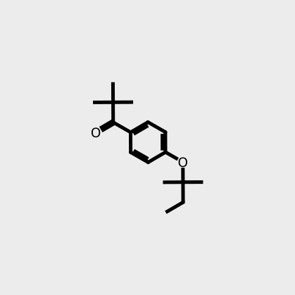 CCC(C)(C)Oc1ccc(C(=O)C(C)(C)C)cc1